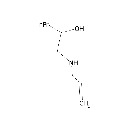 C=CCNCC(O)CCC